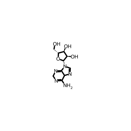 NC1=NCN=C2[C]1N=CN2[C@@H]1O[C@H](CO)[C@@H](O)[C@H]1O